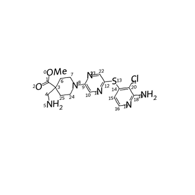 COC(=O)C1(CN)CCN(c2cnc(Sc3ccnc(N)c3Cl)cn2)CC1